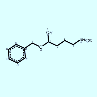 CCCCCCCCCCC(O)OCc1ccccc1